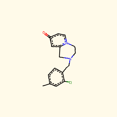 Cc1ccc(CN2CCn3ccc(=O)cc3C2)c(Cl)c1